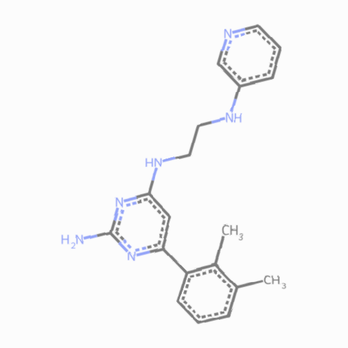 Cc1cccc(-c2cc(NCCNc3cccnc3)nc(N)n2)c1C